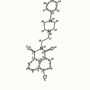 O=C1c2cccc3c(Cl)ccc(c23)C(=O)N1CCN1CCN(c2ccccc2)CC1